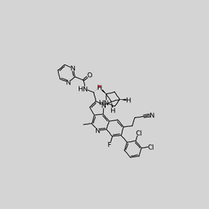 Cc1nc2c(F)c(-c3cccc(Cl)c3Cl)c(CCC#N)cc2c2c1cc([C@@H](C)NC(=O)c1ncccn1)n2[C@H]1[C@H]2CN[C@@H]1C2